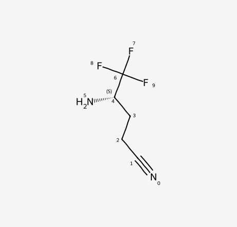 N#CCC[C@H](N)C(F)(F)F